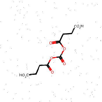 O=C(O)CCC(=O)OC(=O)OC(=O)CCC(=O)O